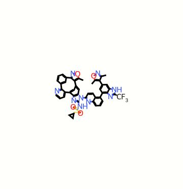 Cc1noc(C)c1-c1cc(-c2cccc3nc(-n4c(NS(=O)(=O)C5CC5)nc5c6cc(cc54)c4c(C)onc4c4cccc(c4)c4ncccc64)ccc23)c2nc(C(F)(F)F)[nH]c2c1